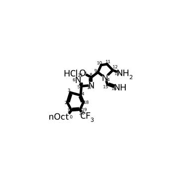 CCCCCCCCc1ccc(-c2noc(C3CCC(N)N3C=N)n2)cc1C(F)(F)F.Cl